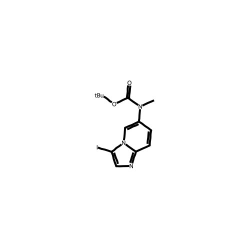 CN(C(=O)OC(C)(C)C)c1ccc2ncc(I)n2c1